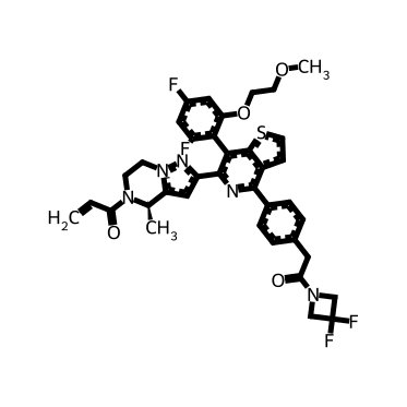 C=CC(=O)N1CCn2nc(-c3nc(-c4ccc(CC(=O)N5CC(F)(F)C5)cc4)c4ccsc4c3-c3c(F)cc(F)cc3OCCOC)cc2[C@H]1C